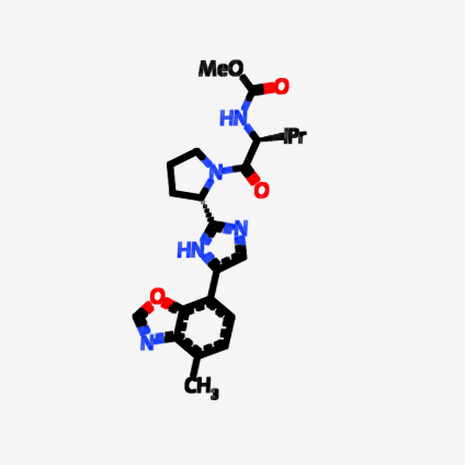 COC(=O)N[C@H](C(=O)N1CCC[C@H]1c1ncc(-c2ccc(C)c3ncoc23)[nH]1)C(C)C